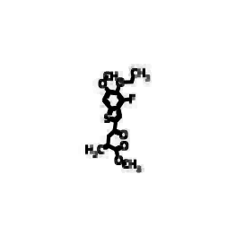 C=C(CC(=O)c1cc2c(F)c(OCC)c(OC)cc2s1)C(=O)OC